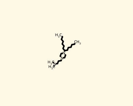 CCCCCCCC(CCCCCC)N1CCN(CCCN(C)C)CC1